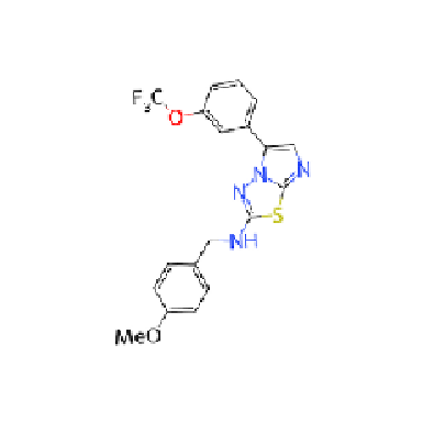 COc1ccc(CNc2nn3c(-c4cccc(OC(F)(F)F)c4)cnc3s2)cc1